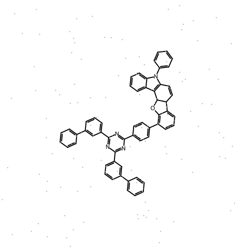 C1=CC2c3cccc(-c4ccc(-c5nc(-c6cccc(-c7ccccc7)c6)nc(-c6cccc(-c7ccccc7)c6)n5)cc4)c3OC2c2c1n(-c1ccccc1)c1ccccc21